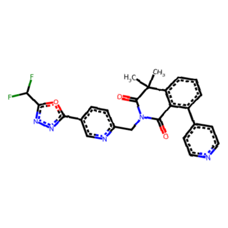 CC1(C)C(=O)N(Cc2ccc(-c3nnc(C(F)F)o3)cn2)C(=O)c2c(-c3ccncc3)cccc21